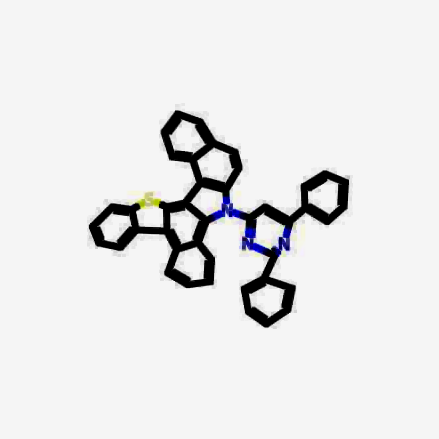 c1ccc(-c2cc(-n3c4ccc5ccccc5c4c4c5sc6ccccc6c5c5ccccc5c43)nc(-c3ccccc3)n2)cc1